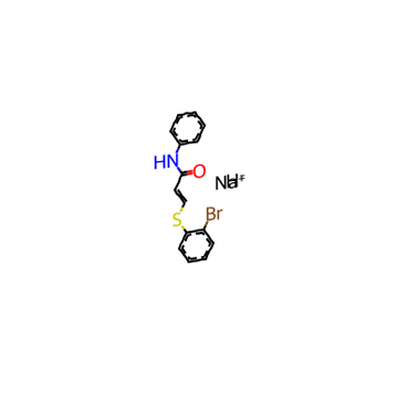 O=C(C=CSc1ccccc1Br)Nc1ccccc1.[H-].[Na+]